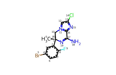 C[C@@]1(c2cc(Br)ccc2F)Cn2cc(Cl)nc2C(N)=N1